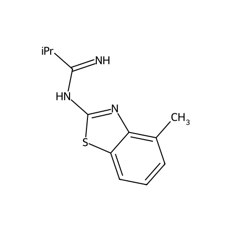 Cc1cccc2sc(NC(=N)C(C)C)nc12